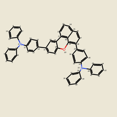 c1ccc(N(c2ccccc2)c2ccc(-c3ccc4c(c3)-c3cccc5ccc(-c6ccc(N(c7ccccc7)c7ccccc7)cc6)c(c35)O4)cc2)cc1